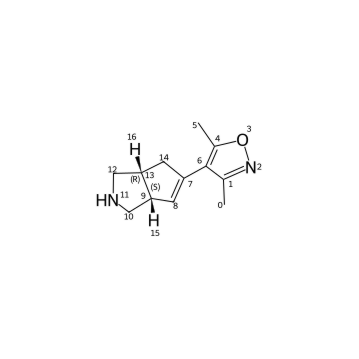 Cc1noc(C)c1C1=C[C@@H]2CNC[C@@H]2C1